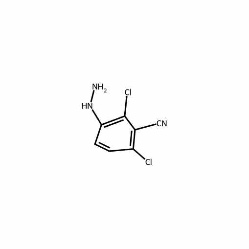 N#Cc1c(Cl)ccc(NN)c1Cl